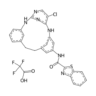 O=C(Nc1cc2cc(c1)Nc1nc(ncc1Cl)Nc1cccc(c1)CC2)c1nc2ccccc2s1.O=C(O)C(F)(F)F